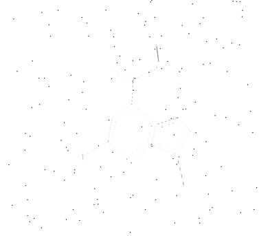 C=C(OCC)c1cc(Cl)nc2c1ccn2C